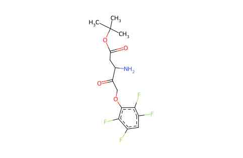 CC(C)(C)OC(=O)CC(N)C(=O)COc1c(F)c(F)cc(F)c1F